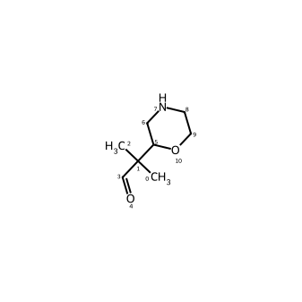 CC(C)(C=O)C1CNCCO1